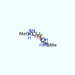 CONC(=N)c1ccc(-c2ccc(-c3ccc(C(=N)NOC)cc3)o2)cc1